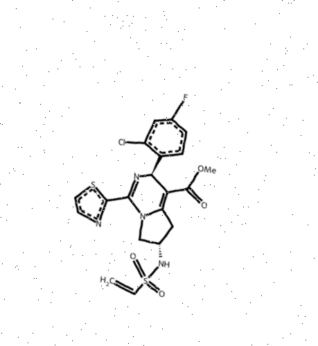 C=CS(=O)(=O)N[C@H]1CC2=C(C(=O)OC)[C@H](c3ccc(F)cc3Cl)N=C(c3nccs3)N2C1